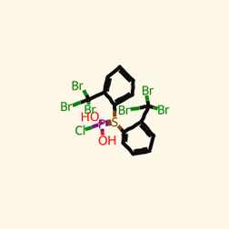 OP(O)(Cl)=S(c1ccccc1C(Br)(Br)Br)c1ccccc1C(Br)(Br)Br